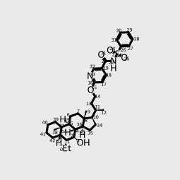 CC[C@H]1[C@@H](O)[C@@H]2[C@H](CC[C@]3(C)[C@@H]([C@H](C)CCOc4ccc(C(=O)NS(=O)(=O)c5ccccc5)cn4)CC[C@@H]23)[C@@]2(C)CCCC[C@@H]12